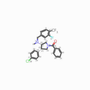 CN(Cc1ccc(C(F)(F)F)c(F)c1)[C@@H]1CN(C(=O)c2ccccc2)C[C@@H]1c1ccc(Cl)cc1